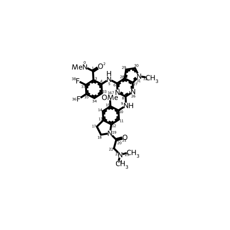 CNC(=O)c1c(Nc2nc(Nc3cc4c(cc3OC)CCN4C(=O)CN(C)C)nc3c2ccn3C)ccc(F)c1F